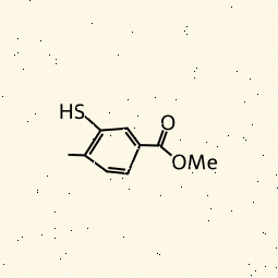 COC(=O)c1ccc(C)c(S)c1